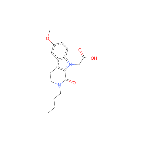 CCCCN1CCc2c(n(CC(=O)O)c3ccc(OC)cc23)C1=O